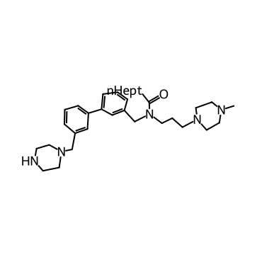 CCCCCCCC(=O)N(CCCN1CCN(C)CC1)Cc1cccc(-c2cccc(CN3CCNCC3)c2)c1